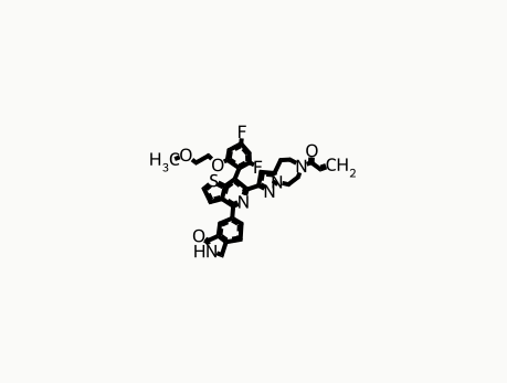 C=CC(=O)N1CCc2cc(-c3nc(-c4ccc5c(c4)C(=O)NC5)c4ccsc4c3-c3c(F)cc(F)cc3OCCOC)nn2CC1